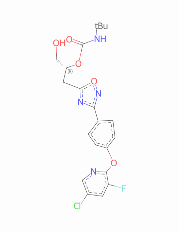 CC(C)(C)NC(=O)O[C@@H](CO)Cc1nc(-c2ccc(Oc3ncc(Cl)cc3F)cc2)no1